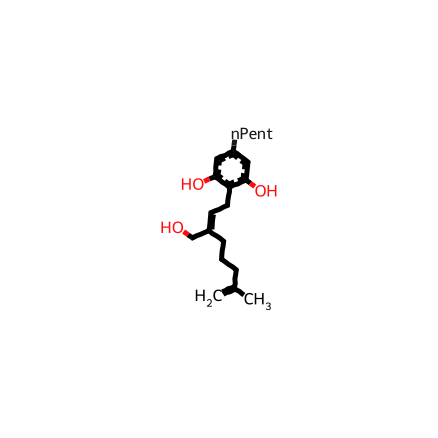 C=C(C)CCC/C(=C\Cc1c(O)cc(CCCCC)cc1O)CO